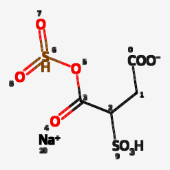 O=C([O-])CC(C(=O)O[SH](=O)=O)S(=O)(=O)O.[Na+]